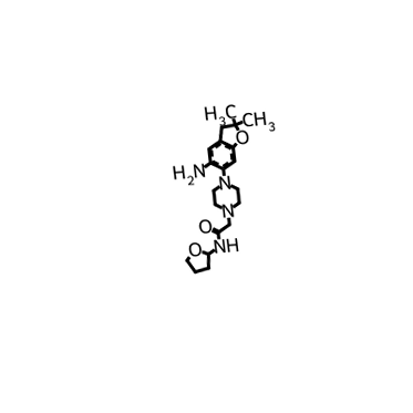 CC1(C)Cc2cc(N)c(N3CCN(CC(=O)NC4CCCO4)CC3)cc2O1